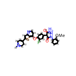 COc1ccccc1NC(=O)C(C(N)=O)c1ccc(Oc2ccnc3cc(C4=CCN(C)CC4)sc23)c(F)c1